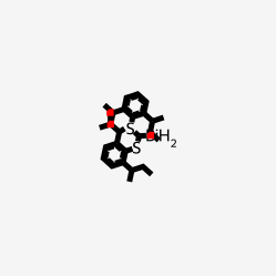 CCC(C)c1cccc(C(C)CC)c1S[CH]([BiH2])Sc1c(C(C)CC)cccc1C(C)CC